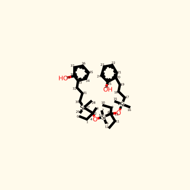 CCC(C)(O[Si](C)(C)C(CC)(CC)O[Si](C)(C)CCCc1ccccc1O)[Si](C)(C)CCCc1ccccc1O